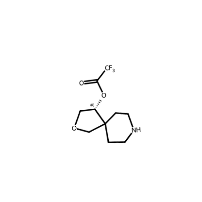 O=C(O[C@H]1COCC12CCNCC2)C(F)(F)F